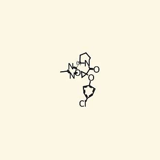 Cc1noc([C@@H]2CCCN2C(=O)C2(Oc3ccc(Cl)cc3)CC2)n1